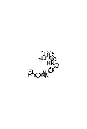 CC(C)c1cc(F)ccc1N1/C(=N/C(=O)NC2CCCC2c2ccc(-c3ncn(-c4ccc(OC(F)(F)F)cc4)n3)cc2)SCCC1C